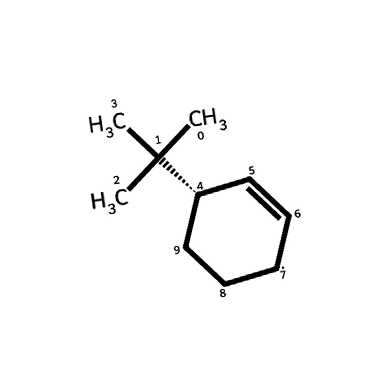 CC(C)(C)[C@@H]1C=C[CH]CC1